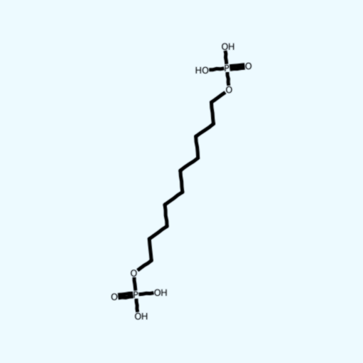 O=P(O)(O)OCCCCCCCCCCOP(=O)(O)O